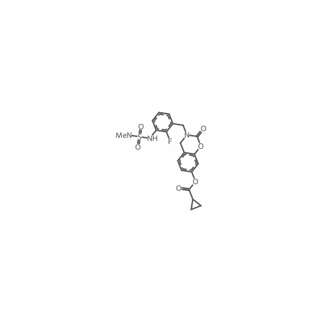 CNS(=O)(=O)Nc1cccc(CN2Cc3ccc(OC(=O)C4CC4)cc3OC2=O)c1F